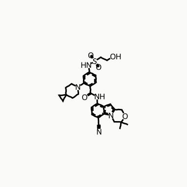 CC1(C)Cn2c(cc3c(NC(=O)c4ccc(NS(=O)(=O)CCO)cc4N4CCC5(CC4)CC5)ccc(C#N)c32)CO1